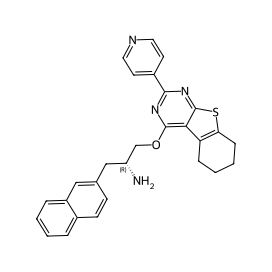 N[C@@H](COc1nc(-c2ccncc2)nc2sc3c(c12)CCCC3)Cc1ccc2ccccc2c1